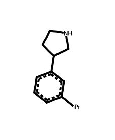 CC(C)c1cccc(C2CCNC2)c1